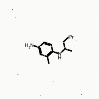 Cc1cc(N)ccc1NC(C)CC(C)C